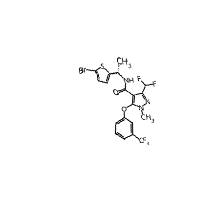 C[C@H](NC(=O)c1c(C(F)F)nn(C)c1Oc1cccc(C(F)(F)F)c1)c1ccc(Br)s1